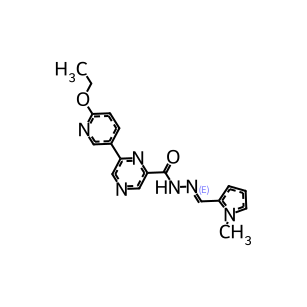 CCOc1ccc(-c2cncc(C(=O)N/N=C/c3cccn3C)n2)cn1